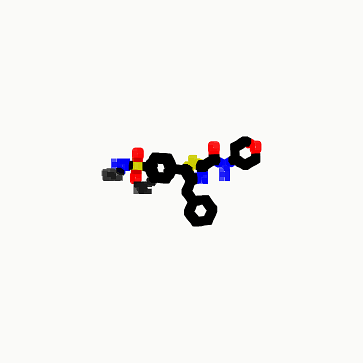 CC(C)(C)NS(=O)(=O)c1ccc(-c2sc(C(=O)NC3CCOCC3)nc2CC2CCCCC2)cc1C#N